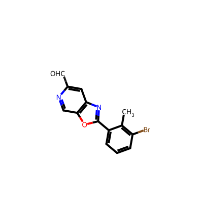 Cc1c(Br)cccc1-c1nc2cc(C=O)ncc2o1